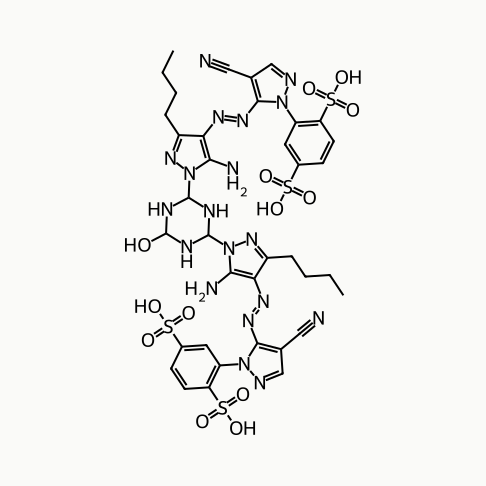 CCCCc1nn(C2NC(O)NC(n3nc(CCCC)c(N=Nc4c(C#N)cnn4-c4cc(S(=O)(=O)O)ccc4S(=O)(=O)O)c3N)N2)c(N)c1N=Nc1c(C#N)cnn1-c1cc(S(=O)(=O)O)ccc1S(=O)(=O)O